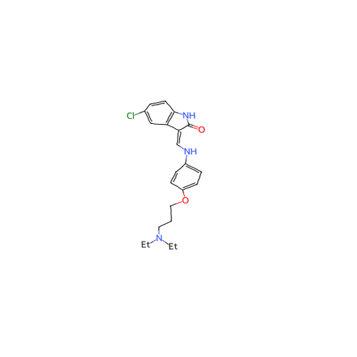 CCN(CC)CCCOc1ccc(NC=C2C(=O)Nc3ccc(Cl)cc32)cc1